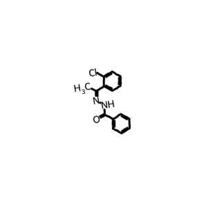 CC(=NNC(=O)c1ccccc1)c1ccccc1Cl